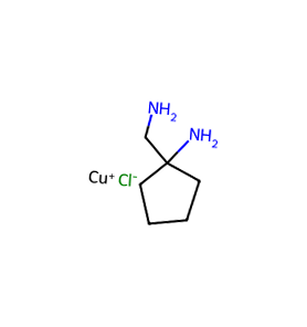 NCC1(N)CCCC1.[Cl-].[Cu+]